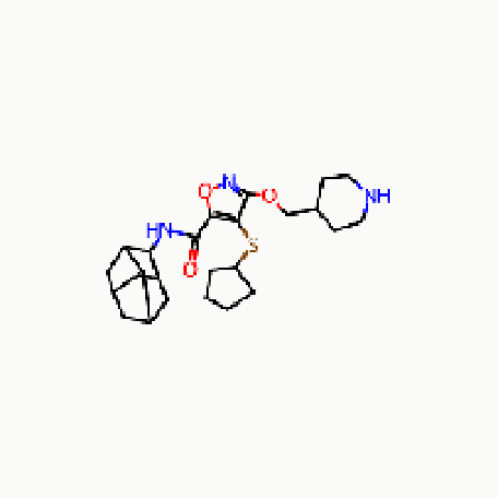 O=C(NC1C2CC3CC(C2)CC1C3)c1onc(OCC2CCNCC2)c1SC1CCCC1